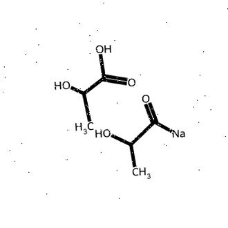 CC(O)C(=O)O.CC(O)[C](=O)[Na]